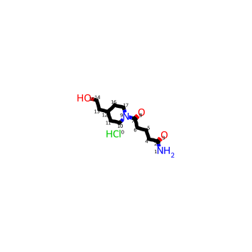 Cl.NC(=O)CCCC(=O)N1CCC(CCO)CC1